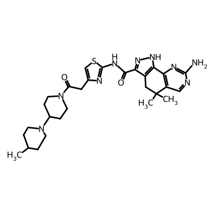 CC1CCN(C2CCN(C(=O)Cc3csc(NC(=O)c4n[nH]c5c4CC(C)(C)c4cnc(N)nc4-5)n3)CC2)CC1